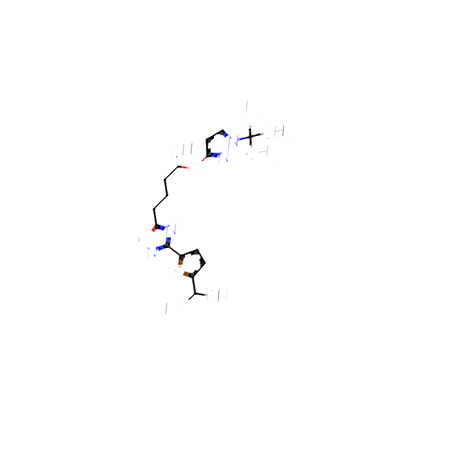 CC(C)c1ccc(-c2noc(CCC[C@H](C)Oc3ccn(C(C)(C)C)n3)n2)s1